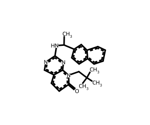 CC(Nc1ncc2ccc(=O)n(CC(C)(C)C)c2n1)c1ccc2ccccc2c1